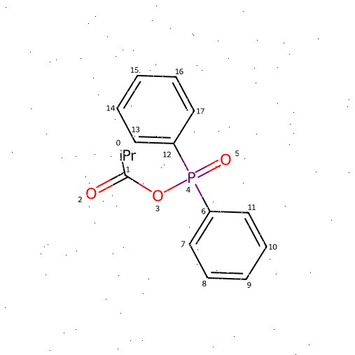 CC(C)C(=O)OP(=O)(c1ccccc1)c1ccccc1